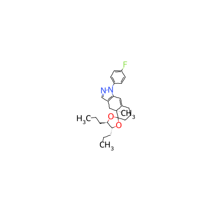 CCC[C@H]1OC2(CCCC3=Cc4c(cnn4-c4ccc(F)cc4)C[C@@]32C)O[C@@H]1CCC